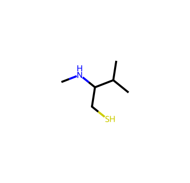 CNC(CS)C(C)C